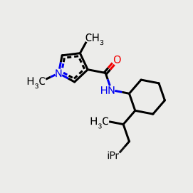 Cc1cn(C)cc1C(=O)NC1CCCCC1C(C)CC(C)C